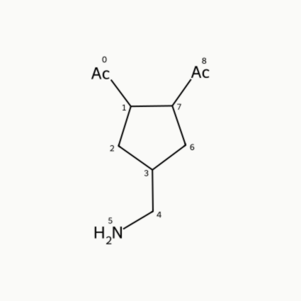 CC(=O)C1CC(CN)CC1C(C)=O